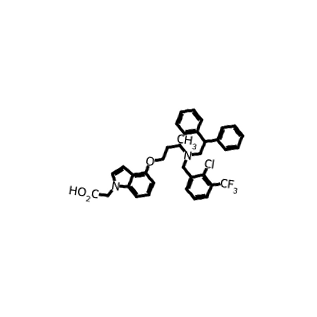 C[C@H](CCOc1cccc2c1ccn2CC(=O)O)N(Cc1cccc(C(F)(F)F)c1Cl)CC(c1ccccc1)c1ccccc1